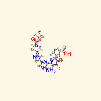 Cc1ccc(C(=O)O)cc1-n1nc(-c2nc(-c3cnn(C4CCN(C(=O)OC(C)(C)C)CC4)c3)cnc2N)cc(C)c1=O